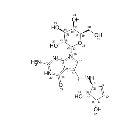 Nc1nc2c(c(CN[C@H]3C=C[C@H](O)[C@@H]3O)cn2[C@H]2O[C@H](CO)[C@H](O)[C@H](O)[C@H]2O)c(=O)[nH]1